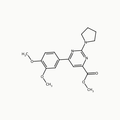 COC(=O)c1cc(-c2ccc(OC)c(OC)c2)nc(N2CCCC2)n1